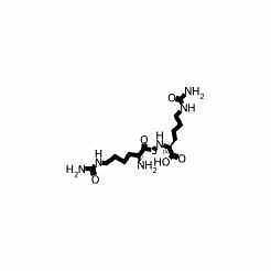 NC(=O)NCCCC[C@H](NSC(=O)[C@@H](N)CCCCNC(N)=O)C(=O)O